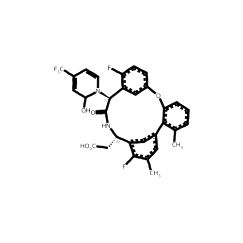 Cc1cc2cc(c1F)[C@H](CC(=O)O)NC(=O)[C@@H](N1C=CC(C(F)(F)F)=CC1O)c1cc(ccc1F)Oc1cccc(C)c1-2